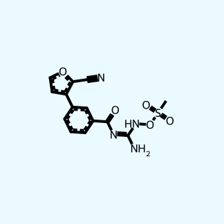 CS(=O)(=O)ONC(N)=NC(=O)c1cccc(-c2ccoc2C#N)c1